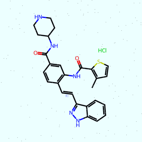 Cc1ccsc1C(=O)Nc1cc(C(=O)NC2CCNCC2)ccc1/C=C/c1n[nH]c2ccccc12.Cl